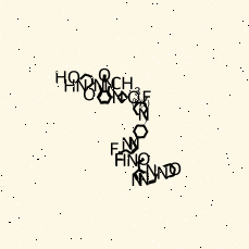 Cn1c(=O)n(C2CCC(O)NC2=O)c2cccc(N3CC(O[C@H]4CCN(C[C@H]5CC[C@H](n6cc(NC(=O)c7cnn8ccc(N9CCOCC9)nc78)c(C(F)F)n6)CC5)C[C@@H]4F)C3)c21